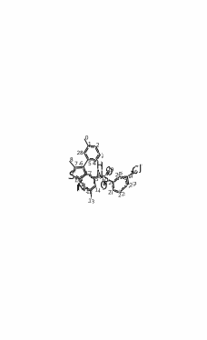 Cc1cccc(-c2c(C)sc3nc(C)cc(NS(=O)(=O)c4cccc(Cl)c4)c23)c1